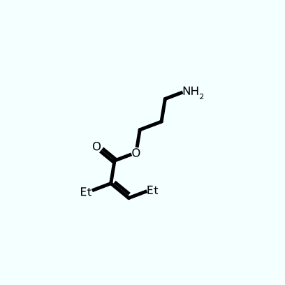 CCC=C(CC)C(=O)OCCCN